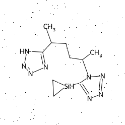 CC(CCC(C)n1nnnc1[SiH]1CC1)c1nnn[nH]1